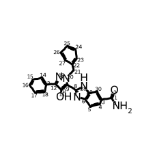 NC(=O)c1ccc2nc(-c3c(O)c(-c4ccccc4)nn3Cc3ccccc3)[nH]c2c1